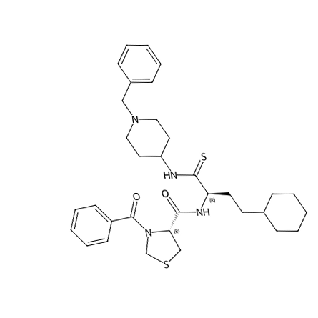 O=C(N[C@H](CCC1CCCCC1)C(=S)NC1CCN(Cc2ccccc2)CC1)[C@@H]1CSCN1C(=O)c1ccccc1